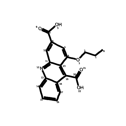 CCCOc1cc(C(=O)O)cc2nc3ccccc3c(C(=O)O)c12